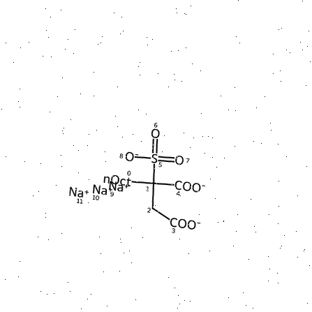 CCCCCCCCC(CC(=O)[O-])(C(=O)[O-])S(=O)(=O)[O-].[Na+].[Na+].[Na+]